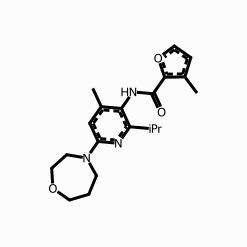 Cc1ccoc1C(=O)Nc1c(C)cc(N2CCCOCC2)nc1C(C)C